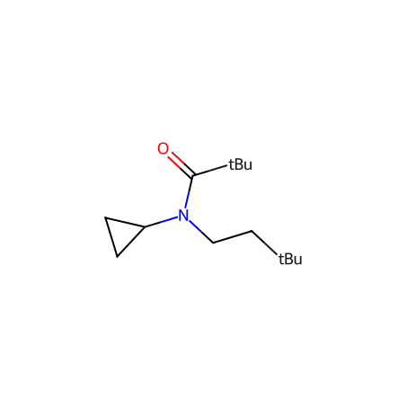 CC(C)(C)CCN(C(=O)C(C)(C)C)C1CC1